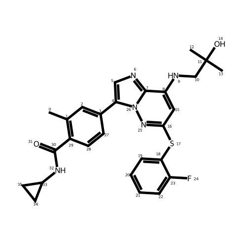 Cc1cc(-c2cnc3c(NCC(C)(C)O)cc(Sc4ccccc4F)nn23)ccc1C(=O)NC1CC1